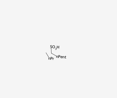 CCCC.CCCCCCS(=O)(=O)O